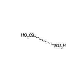 O=C(O)OCCCCCCC=CCCCCCCOC(=O)O